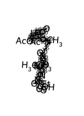 CC[C@@]1(O)C(=O)OCc2c1cc1n(c2=O)Cc2cc3c(CN(C)C)c(OC(=O)N4CCN(C(=O)CCCCCN(C)c5ccc([C@H]6CC7[C@@H](CC[C@]7(OC(C)=O)C(C)=O)[C@@H]7CCC8=CC(=O)CCC8=C76)cc5)CC4)ccc3nc2-1